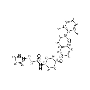 Cc1cccc(C)c1C1CCc2cc(OC3CCC(NC(=O)CCn4cccn4)CC3)ccc2O1